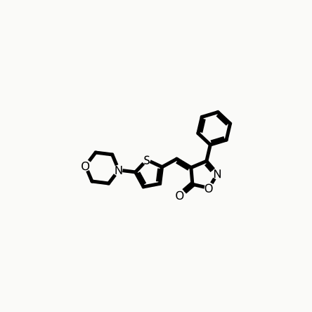 O=C1ON=C(c2ccccc2)/C1=C/c1ccc(N2CCOCC2)s1